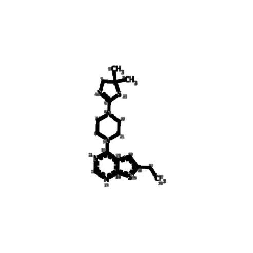 CC1(C)CN=C(N2CCN(c3ncnc4sc(CC(F)(F)F)cc34)CC2)S1